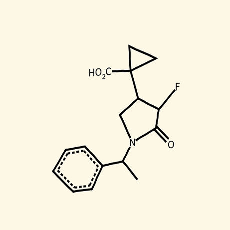 CC(c1ccccc1)N1CC(C2(C(=O)O)CC2)C(F)C1=O